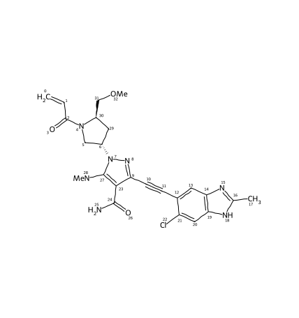 C=CC(=O)N1C[C@@H](n2nc(C#Cc3cc4nc(C)[nH]c4cc3Cl)c(C(N)=O)c2NC)C[C@@H]1COC